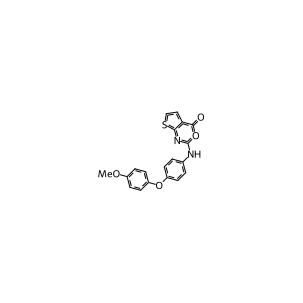 COc1ccc(Oc2ccc(Nc3nc4sccc4c(=O)o3)cc2)cc1